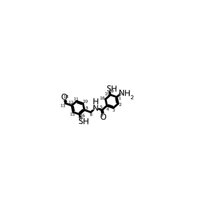 NC1=CC=C(C(=O)NCc2ccc(C=O)cc2S)CC1S